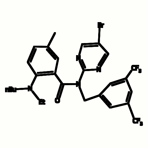 CCCCN(CC)c1ccc(C)cc1C(=O)N(Cc1cc(C(F)(F)F)cc(C(F)(F)F)c1)c1ncc(Br)cn1